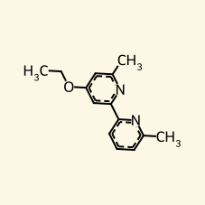 CCOc1cc(C)nc(-c2cccc(C)n2)c1